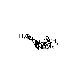 COc1cc(-c2nn(C3CCC(N4CCN(C)CC4)CC3)c3ncnc(N)c23)ccc1NC(=O)C[C@H](C)c1ccccc1